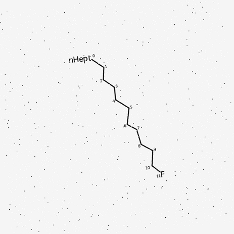 CCCCCCCCCCCCCCCCCF